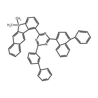 C[Si]1(C)c2cc3ccccc3cc2-c2c(-c3nc(-c4cccc(-c5ccccc5)c4)nc(-c4ccc(-c5ccccc5)c5ccccc45)n3)cccc21